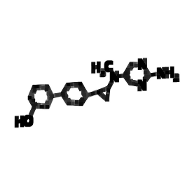 CN(c1cnc(N)nc1)C1CC1c1ccc(-c2cccc(O)c2)cc1